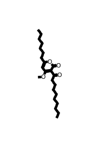 CCCCCCCCCC(=O)c1c(OC)cc(CCCCCCC)oc1=O